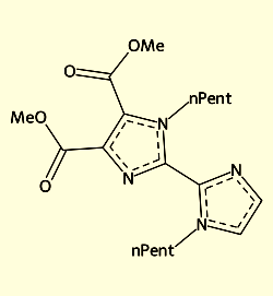 CCCCCn1ccnc1-c1nc(C(=O)OC)c(C(=O)OC)n1CCCCC